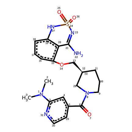 CN(C)c1cc(C(=O)N2CCC[C@H](COc3cccc4c3C(N)=NS(=O)(=O)N4)C2)ccn1